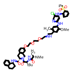 CN[C@@H](C)C(=O)N[C@H](C(=O)N1Cc2cc(OCCOCCOCCNCCc3cc(OC)c(Nc4cc(Nc5ccccc5S(=O)(=O)C(C)C)c(Cl)cn4)cc3C)ccc2C[C@H]1C(=O)N[C@@H]1CCCc2ccccc21)C(C)(C)C